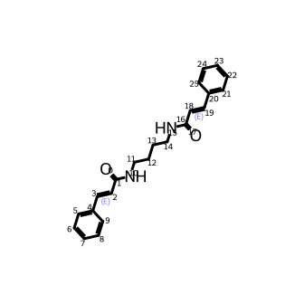 O=C(/C=C/c1ccccc1)NCCCCNC(=O)/C=C/c1ccccc1